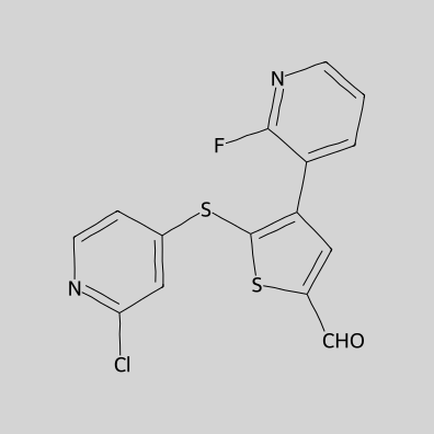 O=Cc1cc(-c2cccnc2F)c(Sc2ccnc(Cl)c2)s1